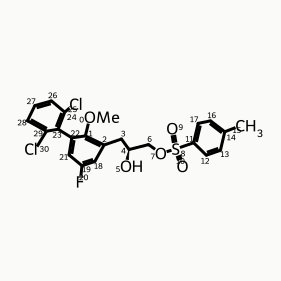 COc1c(C[C@H](O)COS(=O)(=O)c2ccc(C)cc2)cc(F)cc1-c1c(Cl)cccc1Cl